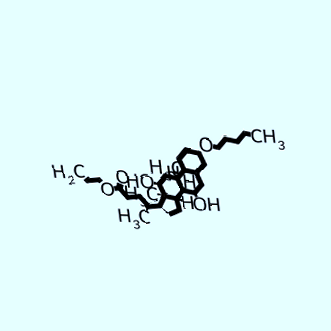 C=CCOC(=O)CC[C@@H](C)[C@H]1CC[C@H]2[C@@H]3[C@H](O)CC4C[C@H](OCCCCC)CC[C@]4(C)[C@H]3C[C@H](O)[C@]12C